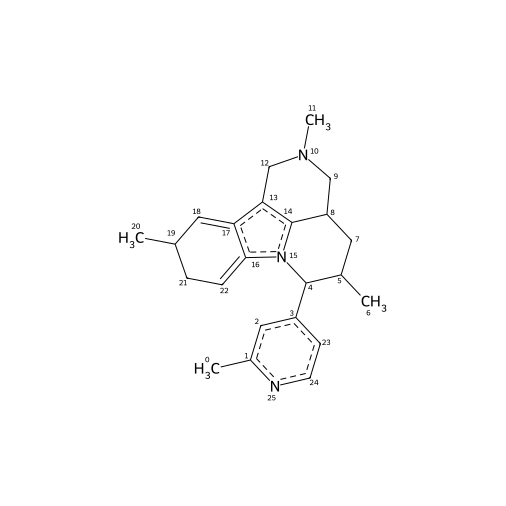 Cc1cc(C2C(C)CC3CN(C)Cc4c3n2c2c4=CC(C)CC=2)ccn1